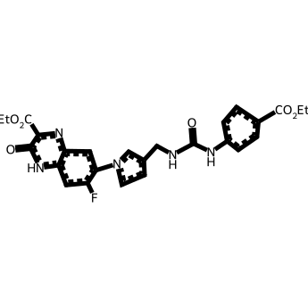 CCOC(=O)c1ccc(NC(=O)NCc2ccn(-c3cc4nc(C(=O)OCC)c(=O)[nH]c4cc3F)c2)cc1